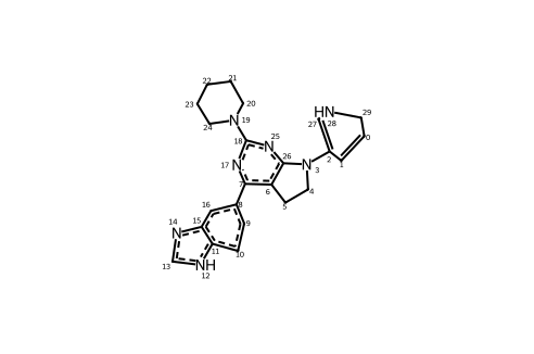 C1=CC(N2CCc3c(-c4ccc5[nH]cnc5c4)nc(N4CCCCC4)nc32)=CNC1